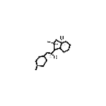 CC1CCC(C[C@H](O)C2C3CCCC[C@@H]3C[C@@H]2C)CC1